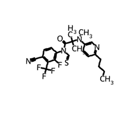 CCCCc1ccc(N(C)C(C)(C)C(=O)N(C=S)c2ccc(C#N)c(C(F)(F)F)c2F)cn1